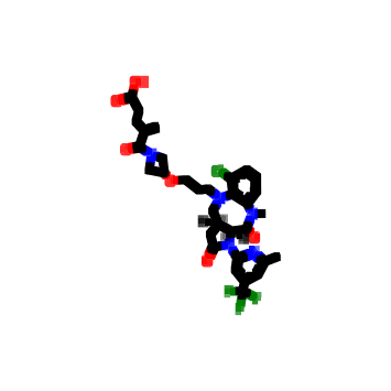 C=C(CCC(=O)O)C(=O)N1CC(OCCCN2C[C@H]3CC(=O)N(c4cc(C(F)(F)F)cc(C)n4)[C@@H]3C(=O)N(C)c3cccc(Cl)c32)C1